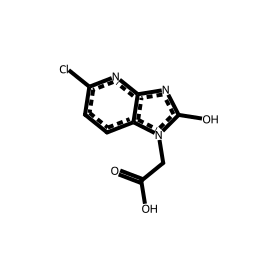 O=C(O)Cn1c(O)nc2nc(Cl)ccc21